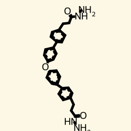 NNC(=O)CCc1ccc(-c2ccc(Oc3ccc(-c4ccc(CCC(=O)NN)cc4)cc3)cc2)cc1